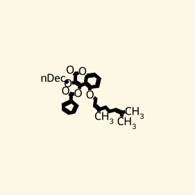 CCCCCCCCCCOc1c(OC(=O)c2ccccc2)c2c(OCC=C(C)CCC=C(C)C)cccc2oc1=O